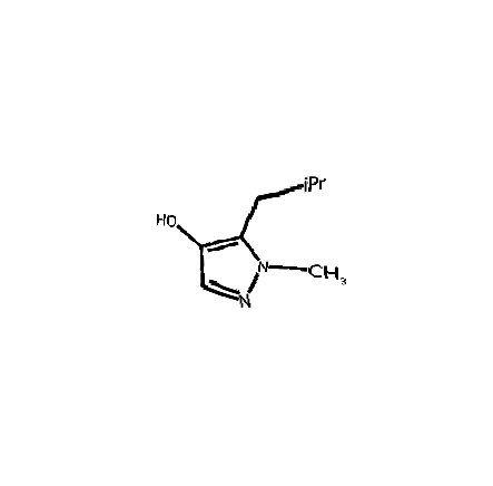 CC(C)Cc1c(O)cnn1C